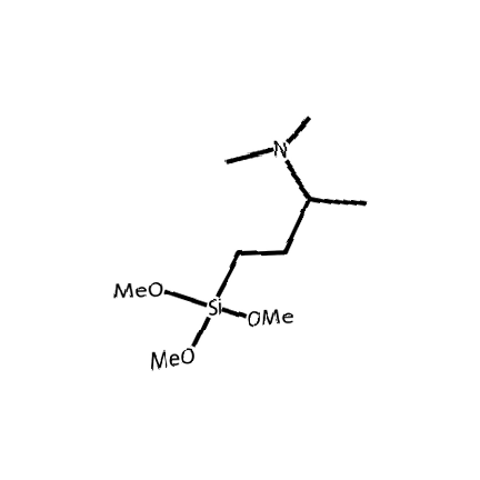 CO[Si](CCC(C)N(C)C)(OC)OC